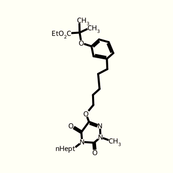 CCCCCCCn1c(=O)c(OCCCCCc2cccc(OC(C)(C)C(=O)OCC)c2)nn(C)c1=O